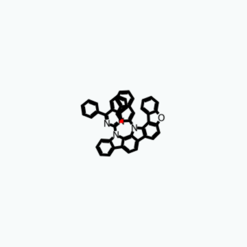 c1ccc(-c2nc(-n3c4ccccc4c4ccc5c6ccc7oc8ccccc8c7c6n(-c6ccc7ccccc7c6)c5c43)nc3ccccc23)cc1